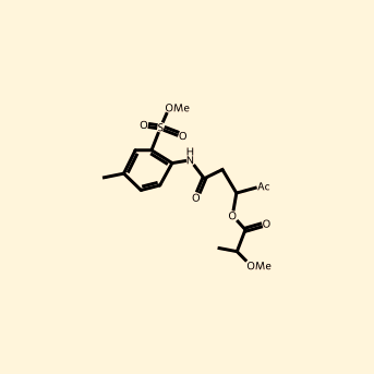 COC(C)C(=O)OC(CC(=O)Nc1ccc(C)cc1S(=O)(=O)OC)C(C)=O